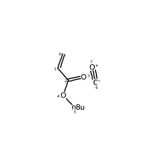 C=CC(=O)OCCCC.[C-]#[O+]